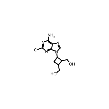 Nc1nc(Cl)nc2c1ncn2C1CC(CO)C1CO